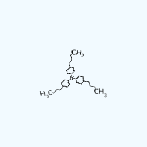 CCCCc1ccc(B(c2ccc(CCCC)cc2)c2ccc(CCCC)cc2)cc1